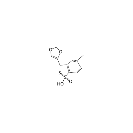 Cc1ccc(S(=O)(O)=S)c(CC2=COCO2)c1